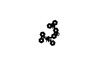 c1ccc(-n2nc(-n3c4ccccc4c4ccccc43)cc2-c2ccc3oc4ccc(-n5c6ccccc6c6ccccc65)cc4c3c2)cc1